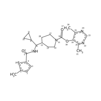 Cc1ccc(C(=O)NC(C2CC2)C2CCN(C(=O)Oc3c(C)ncnc3C)CC2)s1